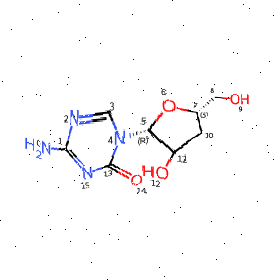 Nc1ncn([C@@H]2O[C@H](CO)CC2O)c(=O)n1